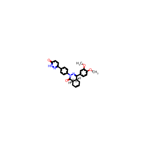 COc1ccc(C2=NN(c3ccc(-c4ccc(=O)[nH]n4)cc3)C(=O)[C@H]3CC=CC[C@@H]23)cc1OC